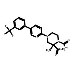 CC(=O)C1(N)CN(c2ccc(-c3cccc(C(F)(F)F)c3)cn2)CCN1C(=O)O